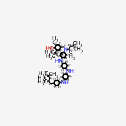 Cc1cc(CN(c2ccc(Nc3ccc(Nc4ccc(Nc5ccc(CC(C)CC(C)(C)C)cc5)cc4)cc3)cc2)C(C)CC(C)C)cc(C(C)(C)C)c1O